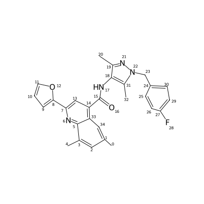 Cc1cc(C)c2nc(-c3ccco3)cc(C(=O)Nc3c(C)nn(Cc4ccc(F)cc4)c3C)c2c1